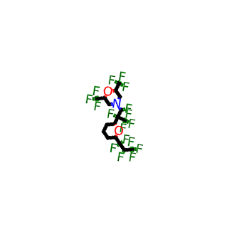 FC(C(F)(F)F)C(F)(F)C1CCCC(C(F)(C(F)N2CC(C(F)(F)F)OC(C(F)(F)F)C2)C(F)(F)F)O1